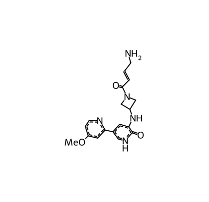 COc1ccnc(-c2c[nH]c(=O)c(NC3CN(C(=O)C=CCN)C3)c2)c1